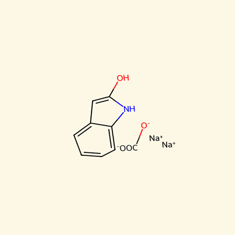 O=C([O-])[O-].Oc1cc2ccccc2[nH]1.[Na+].[Na+]